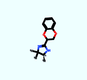 [2H][C@H]1NC(C2COc3ccccc3O2)=NC1([2H])[2H]